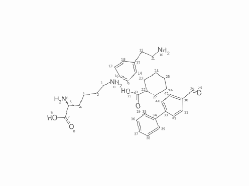 NCCCC[C@H](N)C(=O)O.NCCc1ccccc1.O=C(O)C1CCCCC1.O=Cc1ccc(-c2ccccc2)cc1